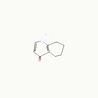 O=c1cc[nH]c2c1CCCC2.[PbH2]